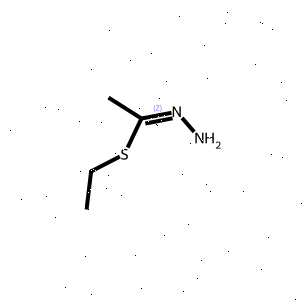 CCS/C(C)=N\N